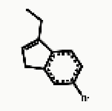 CCC1=CCc2cc(Br)ccc21